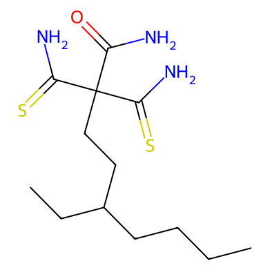 CCCCC(CC)CCC(C(N)=O)(C(N)=S)C(N)=S